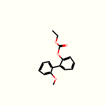 CCOC(=O)Oc1ccccc1-c1ccccc1OC